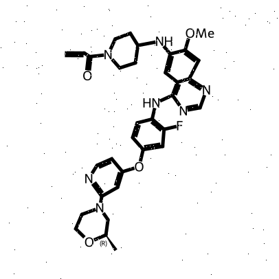 C=CC(=O)N1CCC(Nc2cc3c(Nc4ccc(Oc5ccnc(N6CCO[C@H](C)C6)c5)cc4F)ncnc3cc2OC)CC1